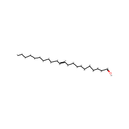 CCCCCCCCCCC=CCCCCCCCCCC=O